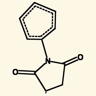 O=C1[CH]CC(=O)N1c1ccccc1